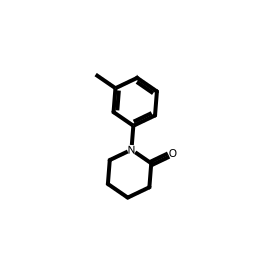 Cc1[c]ccc(N2CCCCC2=O)c1